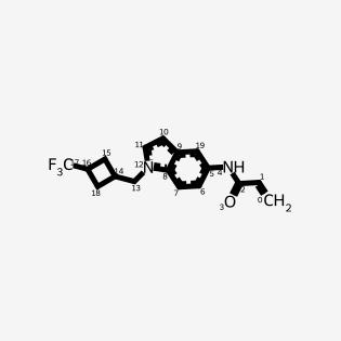 C=CC(=O)Nc1ccc2c(ccn2CC2CC(C(F)(F)F)C2)c1